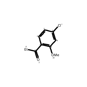 CCC(=O)c1ccc(Cl)cc1OC